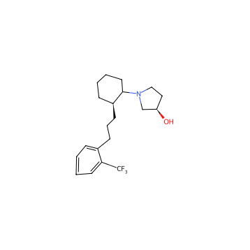 O[C@@H]1CCN(C2CCCC[C@@H]2CCCc2ccccc2C(F)(F)F)C1